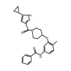 Cc1ccc(NC(=O)c2ccccc2)cc1OC1CCN(C(=O)c2cc(C3CC3)[nH]n2)CC1